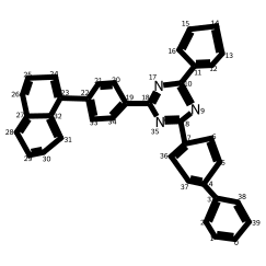 c1ccc(-c2ccc(-c3nc(-c4ccccc4)nc(-c4ccc(-c5cccc6ccccc56)cc4)n3)cc2)cc1